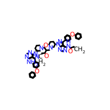 C=CC(=O)Nc1ncnc2c1c(-c1ccc(Oc3ccccc3)cc1)nn2C1CCCN(CC(C(=O)C=C)C(=O)N2CCC[C@@H](n3nc(-c4ccc(Oc5ccccc5)cc4)c4c(N)ncnc43)C2)C1